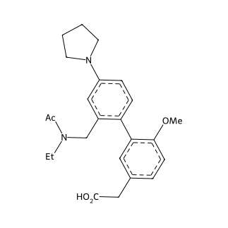 CCN(Cc1cc(N2CCCC2)ccc1-c1cc(CC(=O)O)ccc1OC)C(C)=O